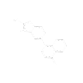 N#Cc1cc2ccc(-n3ccc(=O)c4ccccc43)cc2[nH]1